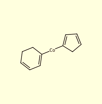 C1=CCC[C]([Co][C]2=CC=CC2)=C1